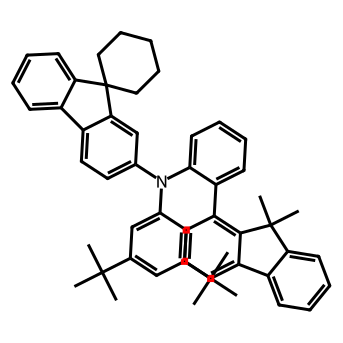 CC(C)(C)c1cc(N(c2ccc3c(c2)C2(CCCCC2)c2ccccc2-3)c2ccccc2-c2cccc3c2C(C)(C)c2ccccc2-3)cc(C(C)(C)C)c1